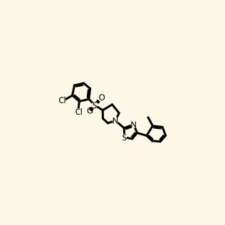 Cc1ccccc1-c1csc(N2CCC(S(=O)(=O)c3cccc(Cl)c3Cl)CC2)n1